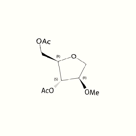 CO[C@@H]1CO[C@H](COC(C)=O)[C@H]1OC(C)=O